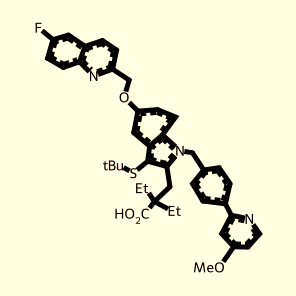 CCC(CC)(Cc1c(SC(C)(C)C)c2cc(OCc3ccc4cc(F)ccc4n3)ccc2n1Cc1ccc(-c2cc(OC)ccn2)cc1)C(=O)O